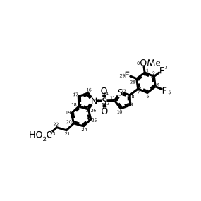 COc1c(F)c(F)cc(-c2ccc(S(=O)(=O)n3ccc4cc(CCC(=O)O)ccc43)s2)c1F